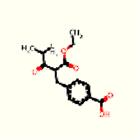 CCOC(=O)C(Cc1ccc(C(=O)O)cc1)C(=O)C(C)C